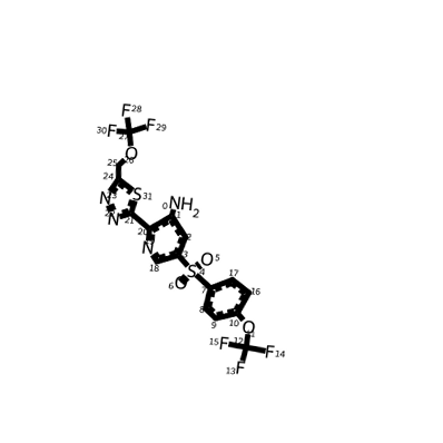 Nc1cc(S(=O)(=O)c2ccc(OC(F)(F)F)cc2)cnc1-c1nnc(COC(F)(F)F)s1